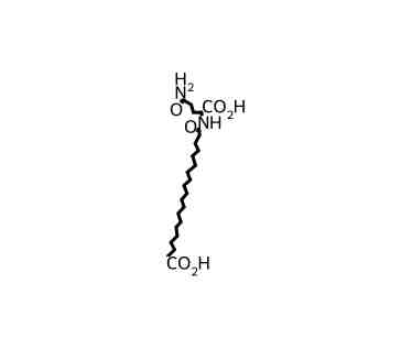 NC(=O)CCC(NC(=O)CCCCCCCCCCCCCCCCCCC(=O)O)C(=O)O